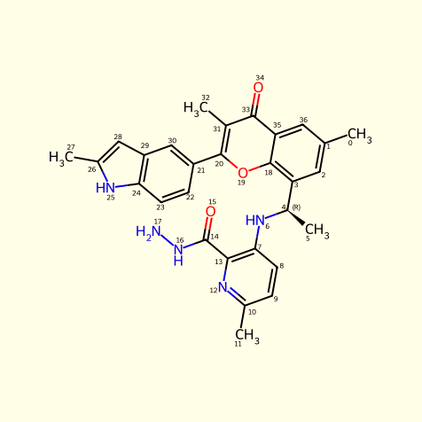 Cc1cc([C@@H](C)Nc2ccc(C)nc2C(=O)NN)c2oc(-c3ccc4[nH]c(C)cc4c3)c(C)c(=O)c2c1